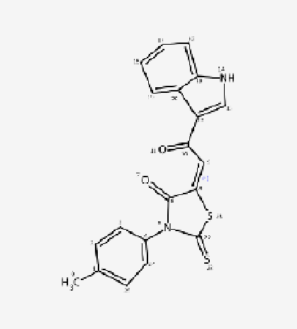 Cc1ccc(N2C(=O)/C(=C\C(=O)c3c[nH]c4ccccc34)SC2=S)cc1